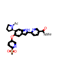 CNC(=O)c1ccc(-c2cc3cc(Oc4ccc(S(C)(=O)=O)nc4)c([C@H]4CCCN4C(C)=O)cc3[nH]2)nc1